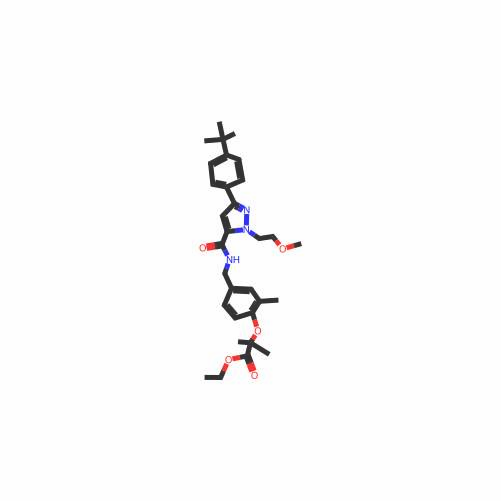 CCOC(=O)C(C)(C)Oc1ccc(CNC(=O)c2cc(-c3ccc(C(C)(C)C)cc3)nn2CCOC)cc1C